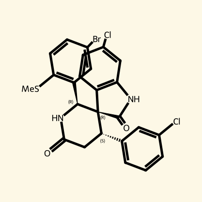 CSc1ccc(Br)cc1[C@@H]1NC(=O)C[C@@H](c2cccc(Cl)c2)[C@]12C(=O)Nc1cc(Cl)ccc12